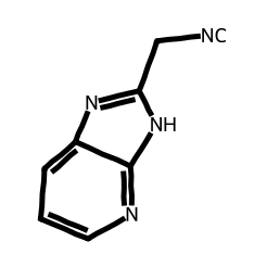 [C-]#[N+]Cc1nc2cccnc2[nH]1